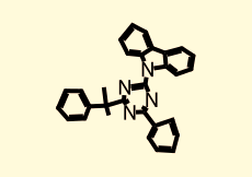 CC(C)(c1ccccc1)c1nc(-c2ccccc2)nc(-n2c3ccccc3c3ccccc32)n1